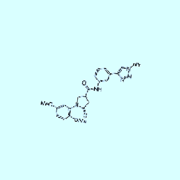 CCCn1cc(-c2cccc(NC(=O)C3CC(=O)N(c4cc(OC)ccc4OC)C3)c2)nn1